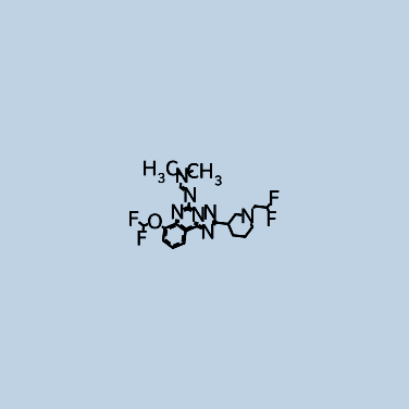 CN(C)C=Nc1nc2c(OC(F)F)cccc2c2nc(C3CCCN(CC(F)F)C3)nn12